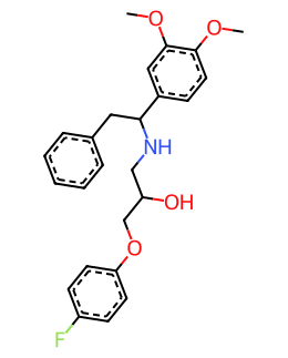 COc1ccc(C(Cc2ccccc2)NCC(O)COc2ccc(F)cc2)cc1OC